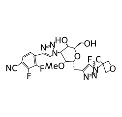 CO[C@@H]1[C@@H](n2cc(-c3ccc(C#N)c(F)c3F)nn2)[C@@H](O)[C@@H](CO)O[C@@H]1Cc1cn(C2(C(F)(F)F)COC2)nn1